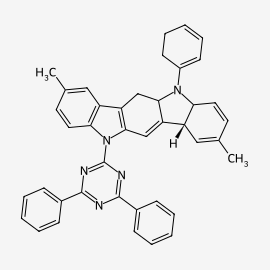 CC1=C[C@@H]2C3=Cc4c(c5cc(C)ccc5n4-c4nc(-c5ccccc5)nc(-c5ccccc5)n4)CC3N(C3=CC=CCC3)C2C=C1